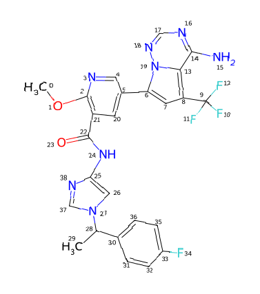 COc1ncc(-c2cc(C(F)(F)F)c3c(N)ncnn23)cc1C(=O)Nc1cn(C(C)c2ccc(F)cc2)cn1